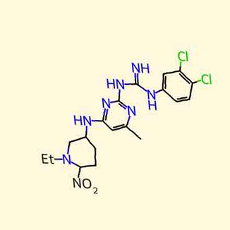 CCN1CC(Nc2cc(C)nc(NC(=N)Nc3ccc(Cl)c(Cl)c3)n2)CCC1[N+](=O)[O-]